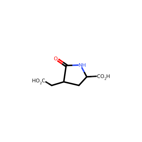 O=C(O)CC1CC(C(=O)O)NC1=O